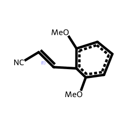 COc1cccc(OC)c1/C=C/C#N